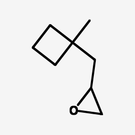 CC1(CC2CO2)CCC1